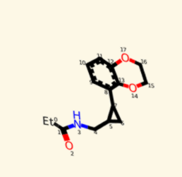 CCC(=O)NCC1CC1c1cccc2c1OCCO2